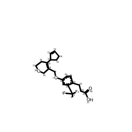 CC(F)(F)c1cc(OCC2=C(C3C=CCC3)CCOC2)ccc1CCC(=O)O